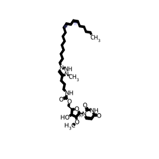 CCCCC/C=C\C/C=C\CCCCCCCCN1C=C(CCCNC(=O)OC[C@H]2O[C@@H](n3ccc(=O)[nH]c3=O)C(OC)C2O)N(C)N1